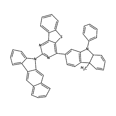 CC12C=CC=CC1N(c1ccccc1)c1cc(-c3nc(-n4c5ccccc5c5cc6ccccc6cc54)nc4c3sc3ccccc34)ccc12